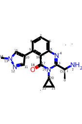 C[C@H](N)c1nc2cccc(-c3cnn(C)c3)c2c(=O)n1C1CC1